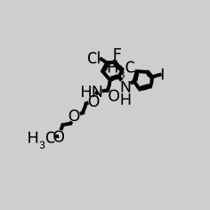 COCCOCCONC(=O)c1cc(Cl)c(F)cc1Nc1ccc(I)cc1C